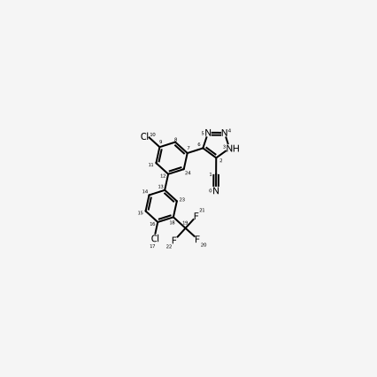 N#Cc1[nH]nnc1-c1cc(Cl)cc(-c2ccc(Cl)c(C(F)(F)F)c2)c1